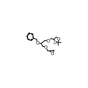 CC1(C)OCC(COCC(COCC2CO2)OCc2ccccc2)O1